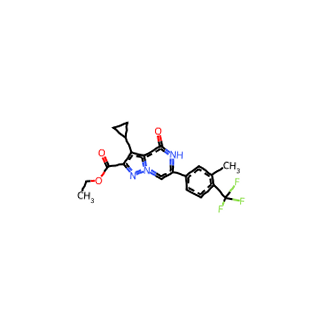 CCOC(=O)c1nn2cc(-c3ccc(C(F)(F)F)c(C)c3)[nH]c(=O)c2c1C1CC1